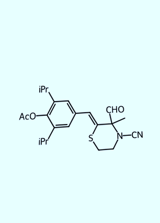 CC(=O)Oc1c(C(C)C)cc(C=C2SCCN(C#N)C2(C)C=O)cc1C(C)C